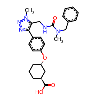 CN(Cc1ccccc1)C(=O)NCc1c(-c2ccc(O[C@H]3CCC[C@H](C(=O)O)C3)cc2)nnn1C